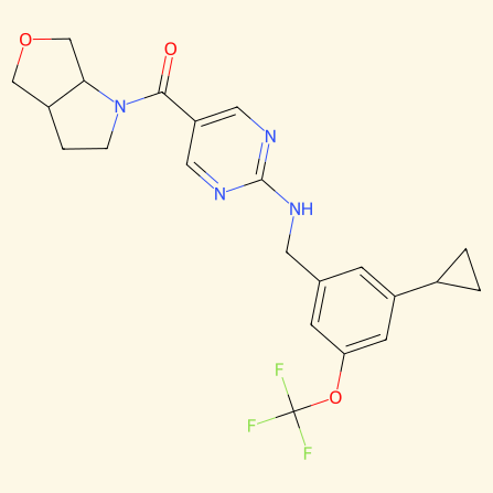 O=C(c1cnc(NCc2cc(OC(F)(F)F)cc(C3CC3)c2)nc1)N1CCC2COCC21